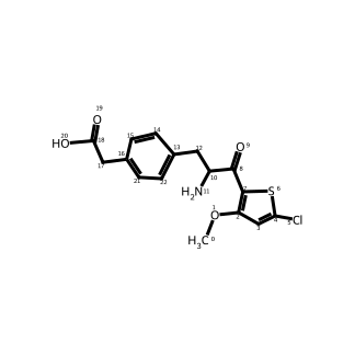 COc1cc(Cl)sc1C(=O)C(N)Cc1ccc(CC(=O)O)cc1